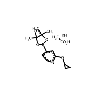 CC(=O)O.CC1(C)OB(c2ccnc(OC3CC3)c2)OC1(C)C.[KH]